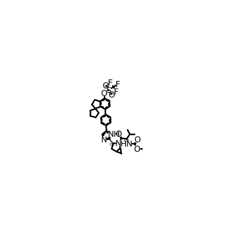 COC(=O)N[C@H](C(=O)N1C2CC2C[C@H]1c1ncc(-c2ccc(-c3ccc(OS(=O)(=O)C(F)(F)F)c4c3C3(CCCC3)CC4)cc2)[nH]1)C(C)C